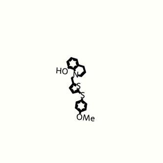 COc1ccc(Sc2ccc(CN3C=CCc4cccc(O)c43)s2)cc1